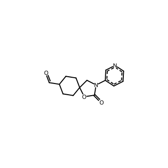 O=CC1CCC2(CC1)CN(c1cccnc1)C(=O)O2